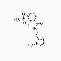 Cn1ccnc1CCNC(=O)c1cccc(C(C)(C)C)c1